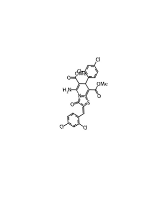 COC(=O)C1=C(N)n2c(sc(=Cc3ccc(Cl)cc3Cl)c2=O)=C(C(=O)OC)C1c1ccc(Cl)cc1Cl